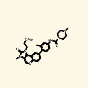 COCCn1c(=O)n(C)c2cnc3ccc(-c4ccc(NC(=O)N5CCN(C)CC5)cc4C)cc3c21